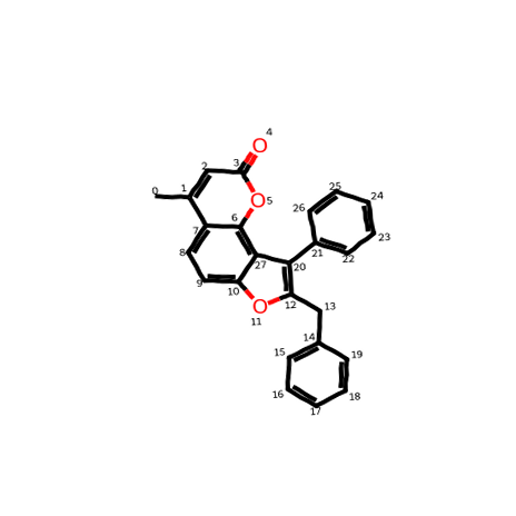 Cc1cc(=O)oc2c1ccc1oc(Cc3ccccc3)c(-c3ccccc3)c12